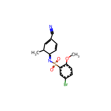 COc1ccc(Br)cc1S(=O)(=O)N=C1C=CC(C#N)=CC1C